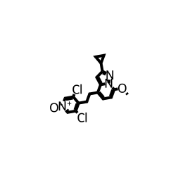 COc1ccc(CCc2c(Cl)c[n+]([O-])cc2Cl)c2cc(C3CC3)nn12